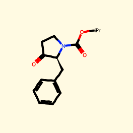 CC(C)OC(=O)N1CCC(=O)[C@@H]1Cc1ccccc1